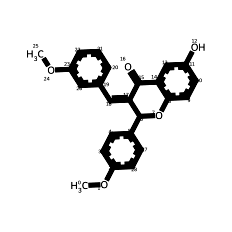 COc1ccc(C2Oc3ccc(O)cc3C(=O)C2=Cc2cccc(OC)c2)cc1